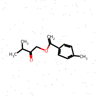 C=C(OCC(=O)C(C)C)c1ccc(C)cc1